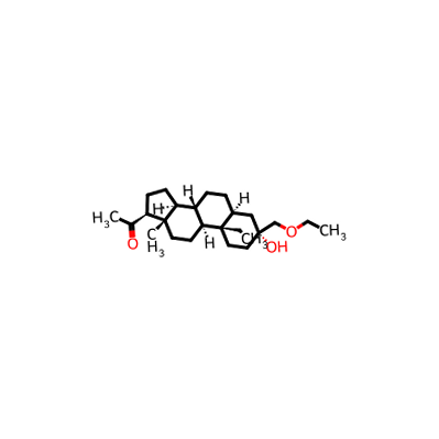 CCOC[C@@]1(O)CC[C@@]2(CC)[C@@H](CC[C@H]3[C@@H]4CC[C@H](C(C)=O)[C@@]4(C)CC[C@@H]32)C1